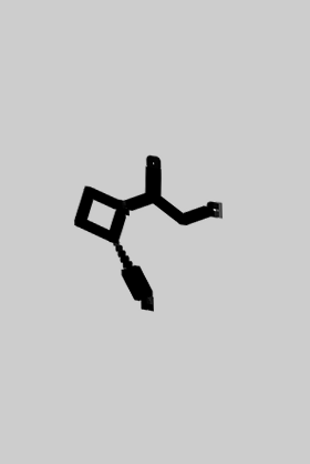 N#C[C@@H]1CCN1C(=O)CCl